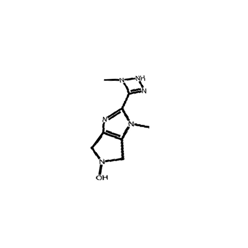 Cn1[nH]nc1-c1nc2c(n1C)CN(O)C2